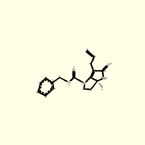 C=CCC1=C2[C@H](CCN2C(=O)OCc2ccccc2)NC1=O